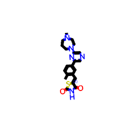 Cc1ccc(-c2cncc(N3CCCN(C)CC3)n2)cc1/C=C1\SC(=O)NC1=O